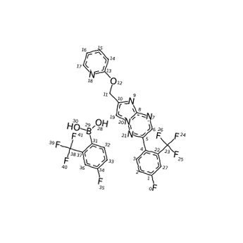 Fc1ccc(-c2cnc3nc(COc4ccccn4)cn3n2)c(C(F)(F)F)c1.OB(O)c1ccc(F)cc1C(F)(F)F